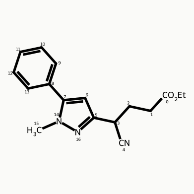 CCOC(=O)CCC(C#N)c1cc(-c2ccccc2)n(C)n1